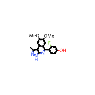 COc1cc2c(-c3ccc(O)cc3F)nc3[nH]nc(C)c3c2cc1OC